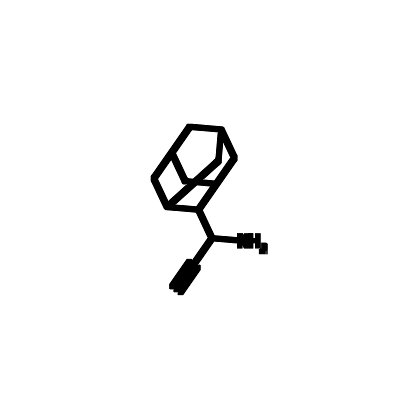 C#CC(N)C1C2CC3CC(C2)CC1C3